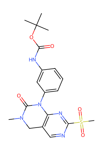 CN1Cc2cnc(S(C)(=O)=O)nc2N(c2cccc(NC(=O)OC(C)(C)C)c2)C1=O